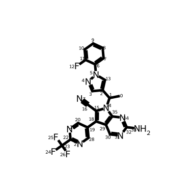 CC(c1cnn(-c2ccccc2F)c1)n1c(C#N)c(-c2cnc(C(F)(F)F)nc2)c2cnc(N)nc21